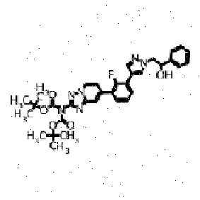 CC(C)(C)OC(=O)N(C(=O)OC(C)(C)C)c1nc2cc(-c3cccc(-c4cnn(C[C@H](O)c5ccccc5)c4)c3F)ccn2n1